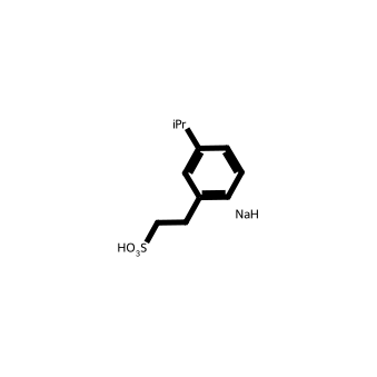 CC(C)c1cccc(CCS(=O)(=O)O)c1.[NaH]